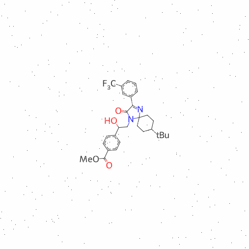 COC(=O)c1ccc(C(O)CN2C(=O)C(c3cccc(C(F)(F)F)c3)=NC23CCC(C(C)(C)C)CC3)cc1